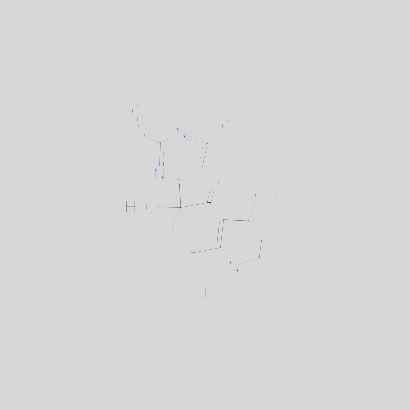 COc1nc(C)cc(C2(C)CCC3=C(C2=O)C(C)=CC(Cl)N3C)n1